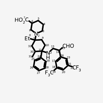 CCC1(N2CCCC(C(=O)O)C2)CCC(NCC(C=O)c2cc(C(F)(F)F)cc(C(F)(F)F)c2)(c2ccccc2)C(C)C1